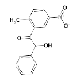 Cc1ccc([N+](=O)[O-])cc1C(=O)C(O)c1ccccc1